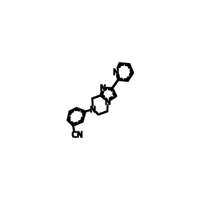 N#Cc1cccc(N2CCn3cc(-c4ccccn4)nc3C2)c1